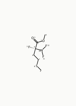 COC(=O)[C@](F)(CCSC)N(F)F